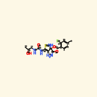 Cc1ccc(COC2(C(N)=O)C=C(NC(=O)NCC(C)O)SN2)c(F)c1